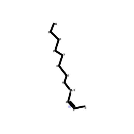 C/C=C\[P]CCCCCCCC